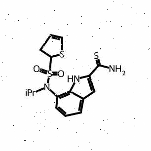 CC(C)N(c1cccc2cc(C(N)=S)[nH]c12)S(=O)(=O)C1CC=CS1